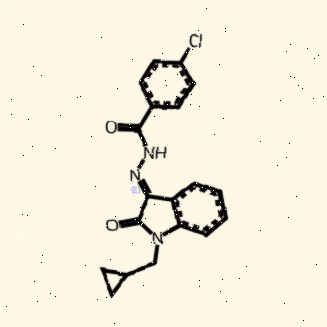 O=C(N/N=C1/C(=O)N(CC2CC2)c2ccccc21)c1ccc(Cl)cc1